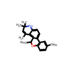 COc1ccc2c(c1)-c1ccc3c(c1C(OC)O2)C(C)=CC(C)(C)N3